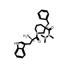 CN(C)N(C)C(=O)[C@@]1(Cc2ccccc2)CCCN(C(=O)[C@H](N)Cc2c[nH]c3ccccc23)C1